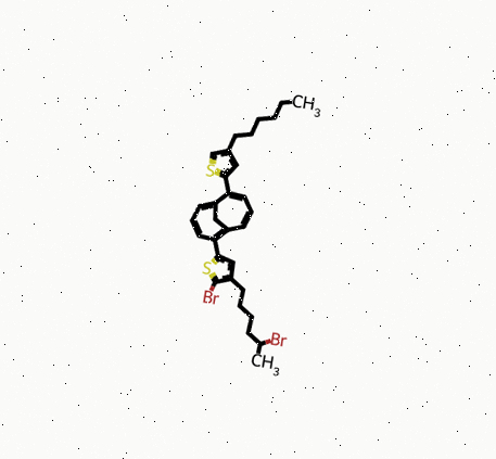 CCCCCCc1csc(C2=CC=CC3=C(c4cc(CCCCC(C)Br)c(Br)s4)C=CC=C2C3)c1